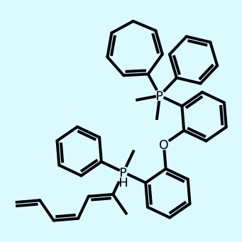 C=C/C=C\C=C(/C)[PH](C)(c1ccccc1)c1ccccc1Oc1ccccc1P(C)(C)(C1=CC=CCC=C1)c1ccccc1